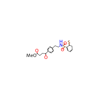 COC(=O)CCC(=O)c1ccc(CCNS(=O)(=O)C2=CC=CCC2=S)cc1